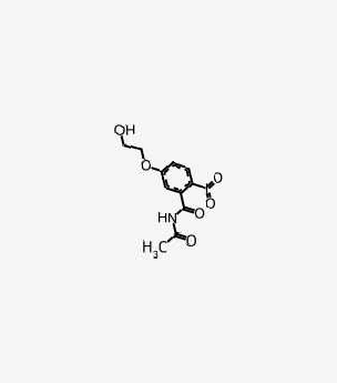 CC(=O)NC(=O)c1cc(OCCO)ccc1I(=O)=O